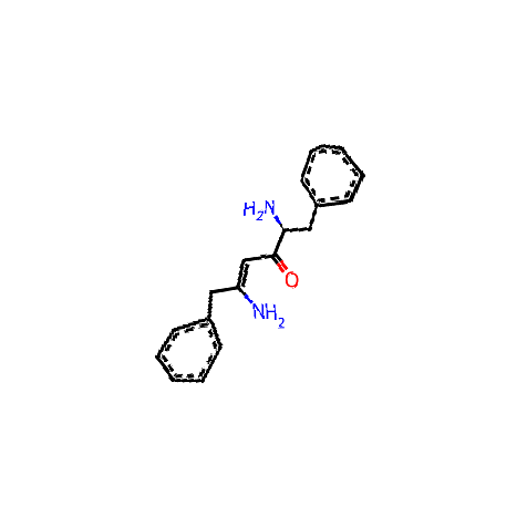 NC(=CC(=O)[C@@H](N)Cc1ccccc1)Cc1ccccc1